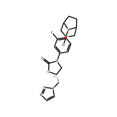 O=C1O[C@@H](Cn2ccnn2)CN1c1ccc(N2C3CCC2C[S+]([O-])C3)c(F)c1